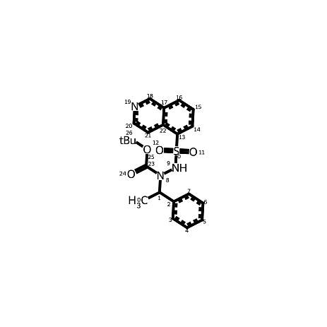 CC(c1ccccc1)N(NS(=O)(=O)c1cccc2cnccc12)C(=O)OC(C)(C)C